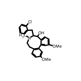 COc1ccc2c(c1)-c1cc(OC)ccc1C(O)C(Cc1ccccc1Cl)N(C)CC2